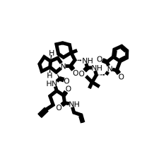 C#CCCC(NC(=O)[C@@H]1[C@H]2CCC[C@H]2CN1C(=O)[C@@H](NC(=O)N[C@H](CN1C(=O)c2ccccc2C1=O)C(C)(C)C)C1(C)CCCCC1)C(=O)C(=O)NCC=C